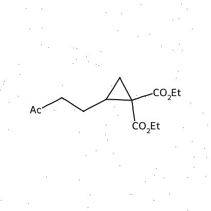 CCOC(=O)C1(C(=O)OCC)CC1CCC(C)=O